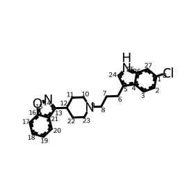 Clc1ccc2c(CCCN3CCC(c4noc5ccccc45)CC3)c[nH]c2c1